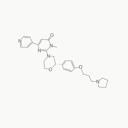 Cn1c(N2CCO[C@@H](c3ccc(OCCCN4CCCC4)cc3)C2)nc(-c2ccncc2)cc1=O